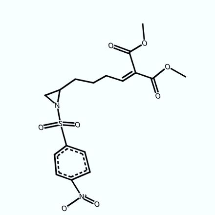 COC(=O)C(=CCCCC1CN1S(=O)(=O)c1ccc([N+](=O)[O-])cc1)C(=O)OC